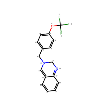 FC(F)(F)Oc1ccc(CN2C=c3ccccc3=NC2)cc1